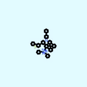 c1ccc(-c2ccc(N(c3ccc(-c4ccc5sc6ccccc6c5c4)cc3)c3ccc4c(c3)C3(c5ccccc5-4)c4ccccc4-c4c(-c5nc(-c6ccccc6)nc(-c6ccccc6)n5)cccc43)cc2)cc1